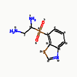 NCC(N)S(=O)(=O)c1cccc2ncsc12